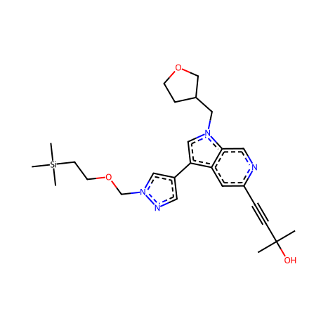 CC(C)(O)C#Cc1cc2c(-c3cnn(COCC[Si](C)(C)C)c3)cn(CC3CCOC3)c2cn1